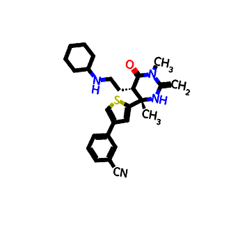 C=C1N[C@](C)(c2cc(-c3cccc(C#N)c3)cs2)[C@H](CCNC2CCCCC2)C(=O)N1C